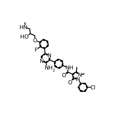 CNCC(O)COc1cccc(-c2cnc(N)c(-c3ccc(NC(=O)c4c(C)n(C)n(-c5cccc(Cl)c5)c4=O)cc3)n2)c1F